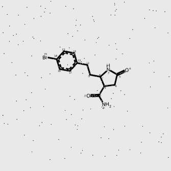 NC(=O)C1CC(=O)NC1CCc1ccc(Br)cc1